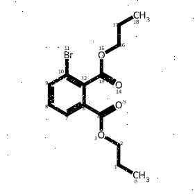 CCCOC(=O)c1cccc(Br)c1C(=O)OCCC